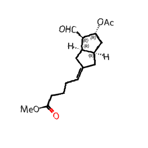 COC(=O)CCCC=C1C[C@@H]2C[C@@H](OC(C)=O)[C@H](C=O)[C@@H]2C1